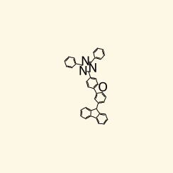 c1ccc(-c2nc(-c3ccccc3)nc(-c3ccc4c(c3)oc3ccc(C5c6ccccc6-c6ccccc65)cc34)n2)cc1